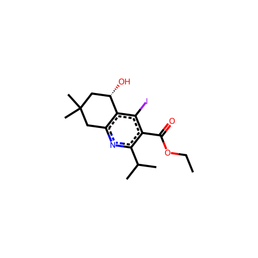 CCOC(=O)c1c(C(C)C)nc2c(c1I)[C@@H](O)CC(C)(C)C2